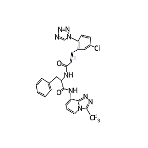 O=C(/C=C/c1cc(Cl)ccc1-n1cnnn1)NC(Cc1ccccc1)C(=O)Nc1cccn2c(C(F)(F)F)nnc12